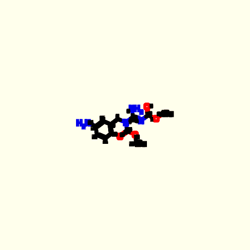 CC(C)(C)OC(=O)/N=C(\N)N(Cc1cccc(N)c1)C(=O)OC(C)(C)C